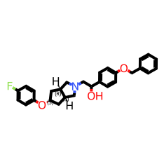 OC(CN1C[C@H]2C[C@H](Oc3ccc(F)cc3)C[C@H]2C1)c1ccc(OCc2ccccc2)cc1